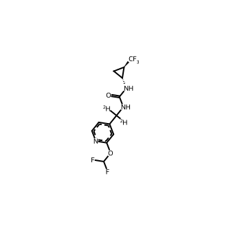 [2H]C([2H])(NC(=O)N[C@@H]1C[C@H]1C(F)(F)F)c1ccnc(OC(F)F)c1